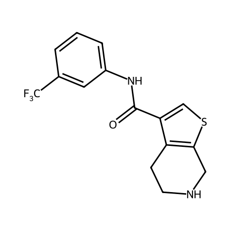 O=C(Nc1cccc(C(F)(F)F)c1)c1csc2c1CCNC2